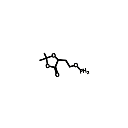 CC1(C)OC(=O)C(CCOP)O1